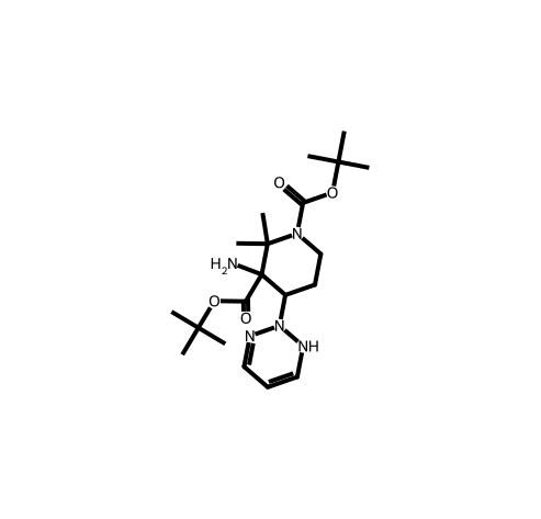 CC(C)(C)OC(=O)N1CCC(N2N=CC=CN2)C(N)(C(=O)OC(C)(C)C)C1(C)C